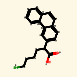 O=C(O)C(CCCCBr)c1ccc2ccc3ccccc3c2c1